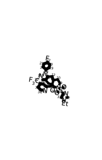 CCn1cnc(S(=O)(=O)N2CCC3=Cc4c(cnn4-c4ccc(F)cc4)CC3(C(=O)c3cc(C(F)(F)F)ccn3)C2)c1